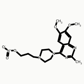 COc1cc2nc(C)nc(N3CCN(CCCO[N+](=O)[O-])CC3)c2cc1OC